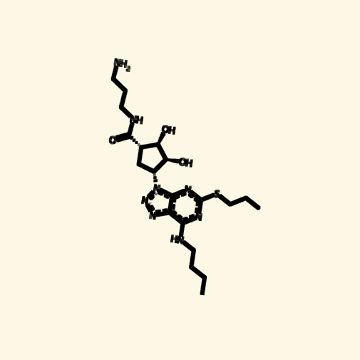 CCCCNc1nc(SCCC)nc2c1nnn2[C@@H]1C[C@H](C(=O)NCCCN)[C@@H](O)[C@H]1O